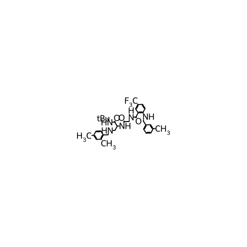 Cc1cccc(CNc2ccc(C(F)(F)F)cc2C(=O)NCC(=O)NC(CNCc2ccc(C)cc2C)C(=O)NC(C)(C)C)c1